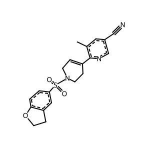 Cc1cc(C#N)cnc1C1=CCN(S(=O)(=O)c2ccc3c(c2)CCO3)CC1